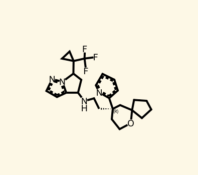 FC(F)(F)C1(C2CC(NCC[C@@]3(c4ccccn4)CCOC4(CCCC4)C3)c3ccnn32)CC1